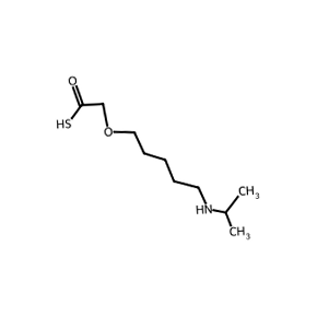 CC(C)NCCCCCOCC(=O)S